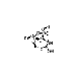 CCOP(=O)(OCC)OP(=O)(OCC)OCC.OP(O)O